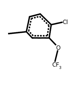 Cc1ccc(Cl)c(OC(F)(F)F)c1